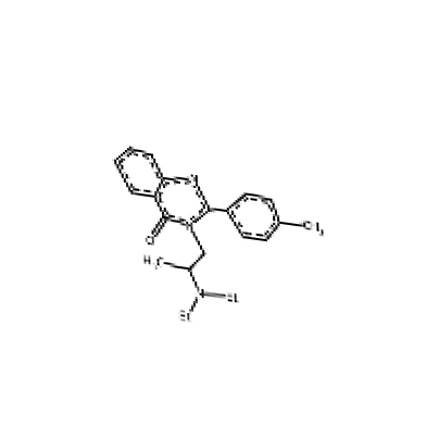 CCN(CC)C(C)Cn1c(-c2ccc(C)cc2)nc2ccccc2c1=O